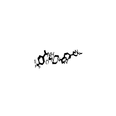 CC(NC(=O)N1CCN(c2cnn3cc(-c4cnn(C)c4)ccc23)CC1)c1ccc(C(F)(F)F)cc1